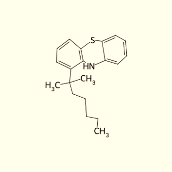 CCCCCC(C)(C)c1cccc2c1Nc1ccccc1S2